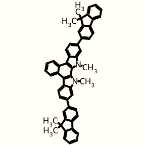 Cn1c2cc(-c3ccc4c(c3)C(C)(C)c3ccccc3-4)ccc2c2c3ccccc3c3c4ccc(-c5ccc6c(c5)C(C)(C)c5ccccc5-6)cc4n(C)c3c21